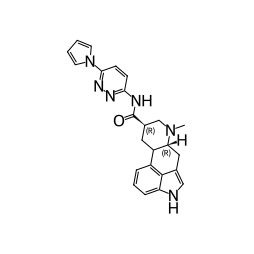 CN1C[C@H](C(=O)Nc2ccc(-n3cccc3)nn2)CC2c3cccc4[nH]cc(c34)C[C@H]21